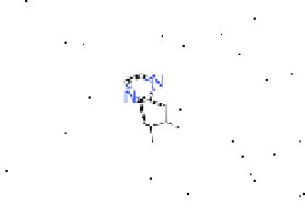 CC1C=c2nccnc2=CC1C